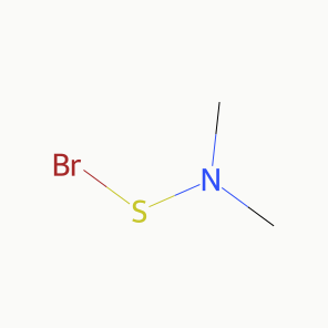 CN(C)SBr